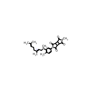 CC(C)=CCC/C(C)=C/CN(C)c1cc(N2C(=O)C3C4C(=O)N(C)C(=O)C4C3C2=O)ccc1C